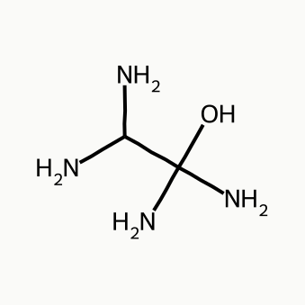 NC(N)C(N)(N)O